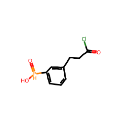 O=C(Cl)CCc1cccc([PH](=O)O)c1